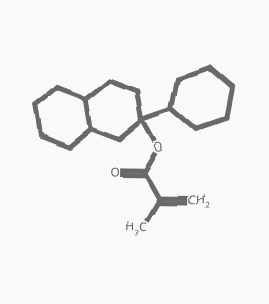 C=C(C)C(=O)OC1(C2CCCCC2)CCC2CCCCC2C1